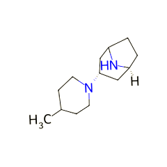 CC1CCN([C@@H]2CC3CC[C@@H](C2)N3)CC1